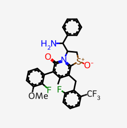 COc1cccc(-c2c(C)c(Cc3c(F)cccc3C(F)(F)F)c3n(c2=O)C(C(N)c2ccccc2)C[S+]3[O-])c1F